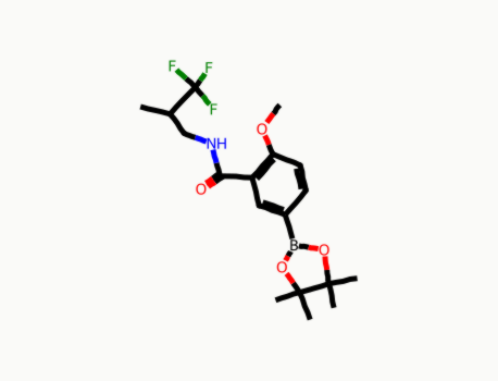 COc1ccc(B2OC(C)(C)C(C)(C)O2)cc1C(=O)NCC(C)C(F)(F)F